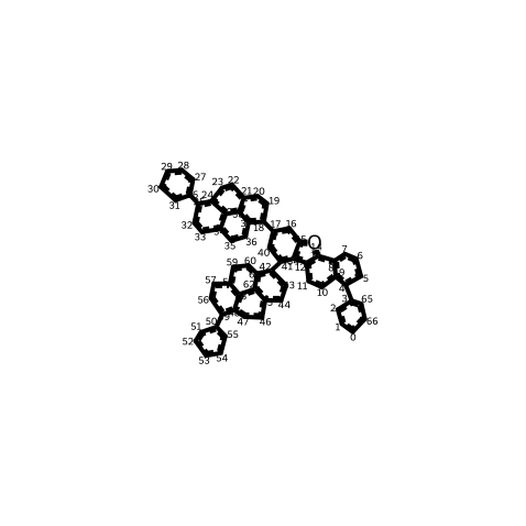 c1ccc(-c2cccc3c2ccc2c3oc3cc(-c4ccc5ccc6c(-c7ccccc7)ccc7ccc4c5c76)cc(-c4ccc5ccc6c(-c7ccccc7)ccc7ccc4c5c76)c32)cc1